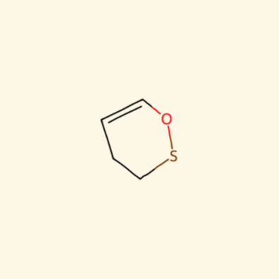 C1=COSCC1